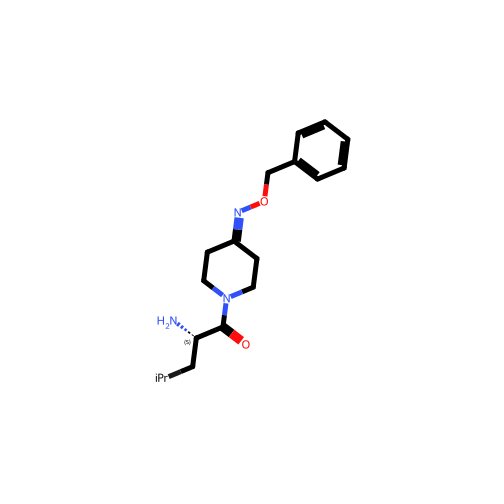 CC(C)C[C@H](N)C(=O)N1CCC(=NOCc2ccccc2)CC1